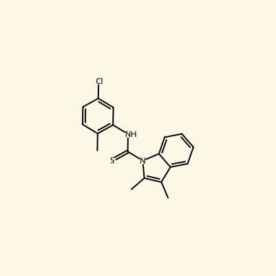 Cc1ccc(Cl)cc1NC(=S)n1c(C)c(C)c2ccccc21